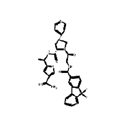 CC(NC(=O)[C@@H]1C[C@H](c2ccncc2)CN1C(=O)CNC(=O)c1ccc2c(c1)-c1ccccc1C2(F)F)c1cc(C(=N)N)cs1